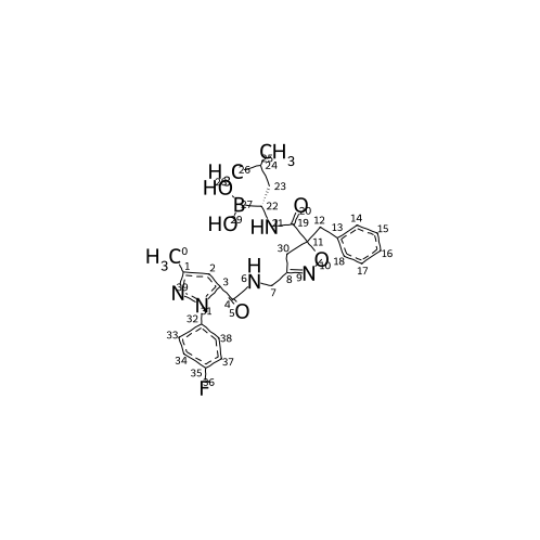 Cc1cc(C(=O)NCC2=NOC(Cc3ccccc3)(C(=O)N[C@@H](CC(C)C)B(O)O)C2)n(-c2ccc(F)cc2)n1